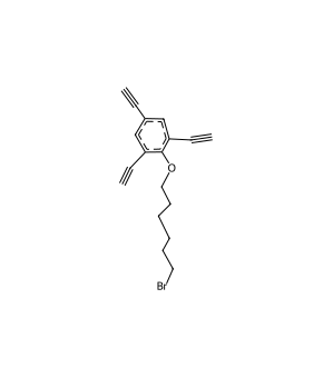 C#Cc1cc(C#C)c(OCCCCCCBr)c(C#C)c1